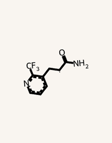 NC(=O)[CH]Cc1cccnc1C(F)(F)F